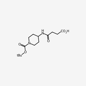 CC(C)(C)OC(=O)N1CCC(NC(=O)CCC(=O)O)CC1